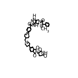 CO[C@@H](C(=O)N1Cc2[nH]nc(NC(=O)c3ccc(N4CCC(CN5CCC(c6ccc7c(c6)C(=O)N(C6CCC(=O)NC6=O)C7=O)CC5)CC4)cc3)c2C1)c1ccccc1